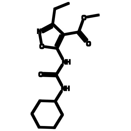 CCc1noc(NC(=O)NC2CCCCC2)c1C(=O)OC